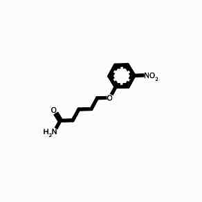 NC(=O)CCCCOc1cccc([N+](=O)[O-])c1